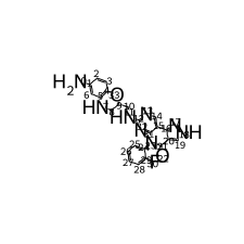 Nc1ccc2c(c1)NC[C@H](CNc1ncc3c4n[nH]cc4c(=O)n(-c4ccccc4F)c3n1)O2